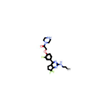 CC(C)CCNc1nc(-c2ccc(OCC(=O)N3CCNCC3)c(F)c2)c2c(n1)C(F)(F)CC2